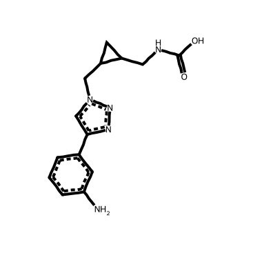 Nc1cccc(-c2cn(CC3CC3CNC(=O)O)nn2)c1